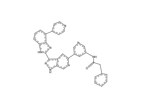 O=C(Cc1ccccc1)Nc1cncc(-c2cc3c(-c4nc5c(-c6ccncc6)cccc5[nH]4)n[nH]c3cn2)c1